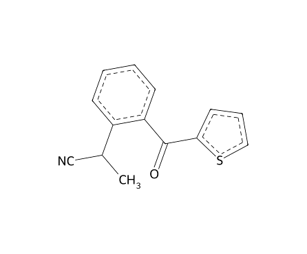 CC(C#N)c1ccccc1C(=O)c1cccs1